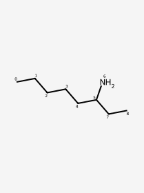 CCCCCC(N)CC